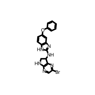 Brc1cnc2c(n1)C(Nc1nc3cc(Oc4ccccc4)ccc3[nH]1)CN2